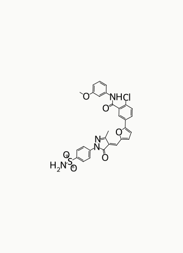 COc1cccc(NC(=O)c2cc(-c3ccc(C=C4C(=O)N(c5ccc(S(N)(=O)=O)cc5)N=C4C)o3)ccc2Cl)c1